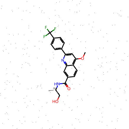 COc1cc(-c2ccc(C(F)(F)F)cc2)nc2cc(C(=O)N[C@@H](C)CO)ccc12